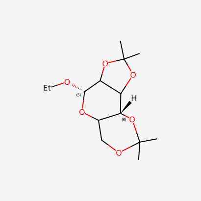 CCO[C@H]1OC2COC(C)(C)O[C@H]2C2OC(C)(C)OC21